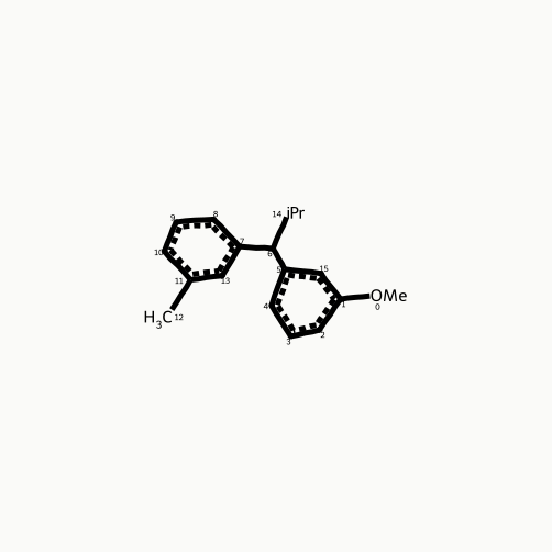 COc1cccc(C(c2cccc(C)c2)C(C)C)c1